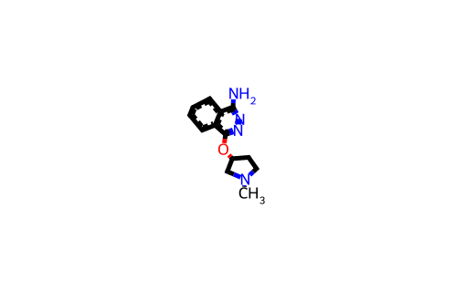 CN1CCC(Oc2nnc(N)c3ccccc23)C1